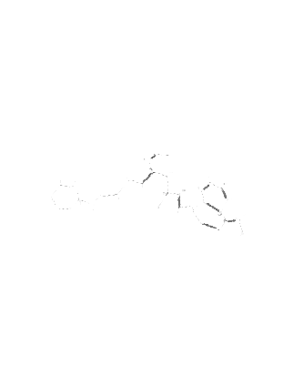 C/C=N\C(=C/CCCOC1CCCCO1)CC(C)/C=C/C/C=C\C(=N/C)c1ccccc1